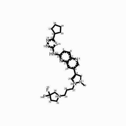 CN1CC(c2cnc3ccc(Nc4nnc(C5CCCC5)s4)nc3c2)=CN1CCCN1CCC(F)(F)C1